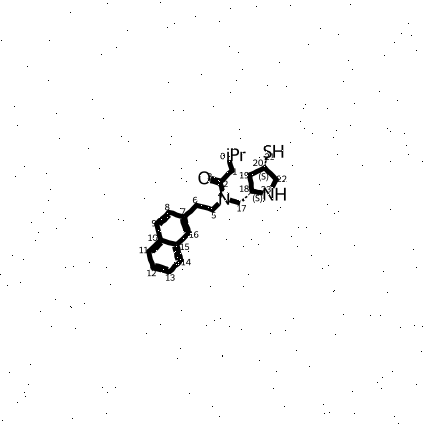 CC(C)CC(=O)N(CCc1ccc2ccccc2c1)C[C@@H]1C[C@H](S)CN1